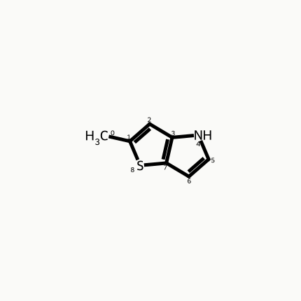 Cc1cc2[nH]ccc2s1